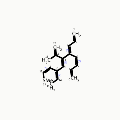 C=C\C=C/C(=C\C=C)C(=C/C(/C=C\SC)=C/C)/C(=C)C